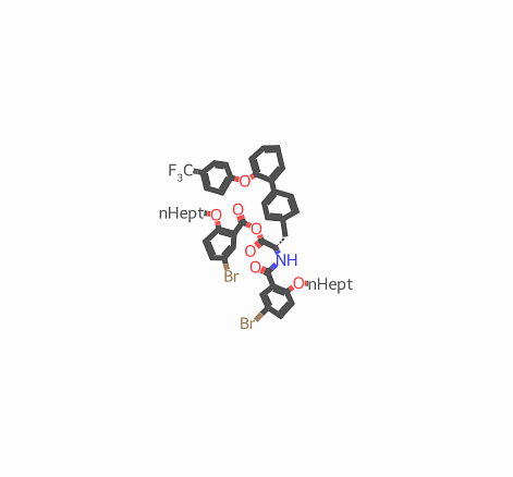 CCCCCCCOc1ccc(Br)cc1C(=O)N[C@@H](Cc1ccc(-c2ccccc2Oc2ccc(C(F)(F)F)cc2)cc1)C(=O)OC(=O)c1cc(Br)ccc1OCCCCCCC